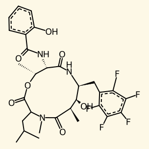 CC(C)CC1C(=O)O[C@H](C)[C@H](NC(=O)c2ccccc2O)C(=O)N[C@@H](Cc2c(F)c(F)c(F)c(F)c2F)[C@@H](O)[C@@H](C)C(=O)N1C